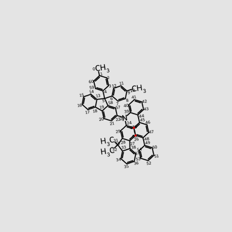 Cc1ccc(C2(c3ccc(C)cc3)c3ccccc3-c3ccc(N(c4ccc5c(c4)C(C)(C)c4ccccc4-5)c4ccccc4-c4ccc(-c5ccccc5)cc4)cc32)cc1